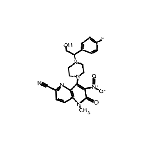 Cn1c(=O)c([N+](=O)[O-])c(N2CCN(C(CO)c3ccc(F)cc3)CC2)c2nc(C#N)ccc21